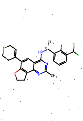 Cc1nc(N[C@H](C)c2cccc(C(F)F)c2F)c2cc(C3=CCSCC3)c3c(c2n1)CCO3